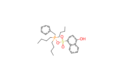 CCCCP(CCCC)(CCCC)(Cc1ccccc1)OS(=O)(=O)c1ccc(O)c2ccccc12